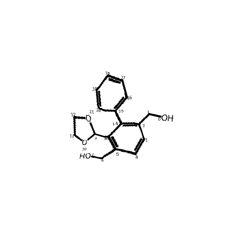 OCc1ccc(CO)c(C2OCCO2)c1-c1ccccc1